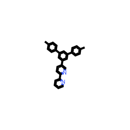 Cc1ccc(-c2cc(-c3ccc(C)cc3)cc(-c3ccc(-c4ccccn4)nc3)c2)cc1